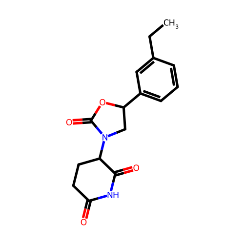 CCc1cccc(C2CN(C3CCC(=O)NC3=O)C(=O)O2)c1